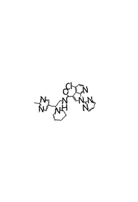 Cc1ncc(C(CNC(=O)c2cn(-c3ncccn3)c3nccc(Cl)c23)N2CCCCC2)cn1